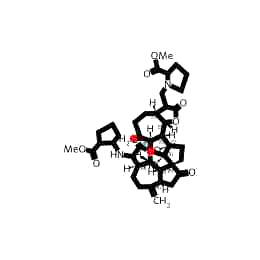 C=C1CC[C@H]2C(CN3CCCC3C(=O)OC)C(=O)O[C@@H]2[C@@H]2[C@H]1C[C@@]1(O)[C@]2(O)CC[C@]12C(=O)C[C@H]1C(=C)CC[C@H]3C(NC4CCCC4C(=O)OC)C(=O)O[C@@H]3[C@H]12